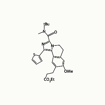 CCOC(=O)CCc1cc2c(cc1OC)CCn1c(C(=O)N(C)C(C)(C)C)nc(-c3cccs3)c1-2